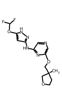 C[C@@]1(COc2cncc(Nc3cc(OC(F)F)[nH]n3)n2)CCOC1